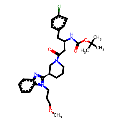 COCCCn1c([C@@H]2CCCN(C(=O)C[C@@H](Cc3ccc(Cl)cc3)NC(=O)OC(C)(C)C)C2)nc2ccccc21